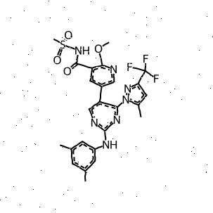 COc1ncc(-c2cnc(Nc3cc(C)cc(C)c3)nc2-n2nc(C(F)(F)F)cc2C)cc1C(=O)NS(C)(=O)=O